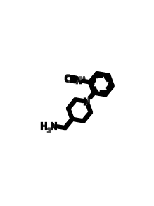 [C-]#[N+]c1ccccc1N1CCC(CN)CC1